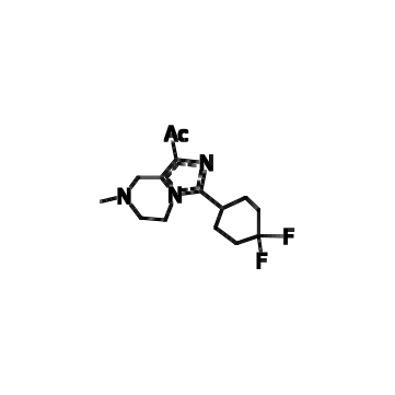 CC(=O)c1nc(C2CCC(F)(F)CC2)n2c1CN(C)CC2